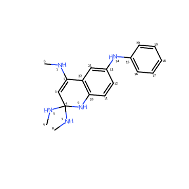 CNC1=CC(NC)(NC)Nc2ccc(Nc3ccccc3)cc21